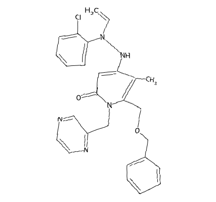 C=CN(Nc1cc(=O)n(Cc2cnccn2)c(COCc2ccccc2)c1C)c1ccccc1Cl